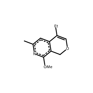 CCC1=COCc2c1cc(C)nc2OC